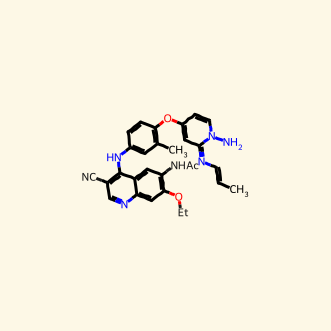 C/C=C/N=c1/cc(Oc2ccc(Nc3c(C#N)cnc4cc(OCC)c(NC(C)=O)cc34)cc2C)ccn1N